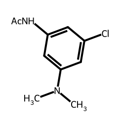 CC(=O)Nc1cc(Cl)cc(N(C)C)c1